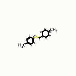 Cc1ccc(SCC2CCC(C)CC2)cc1